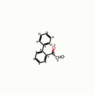 O=[C]C(=O)c1ccccc1-c1ccccc1